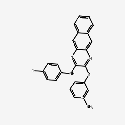 Nc1cccc(Sc2nc3cc4ccccc4cc3nc2Nc2ccc(Cl)cc2)c1